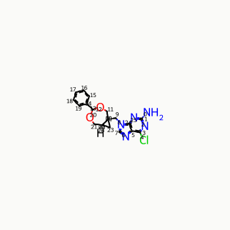 Nc1nc(Cl)c2ncn(C[C@]34COC(c5ccccc5)OC[C@@H]3C4)c2n1